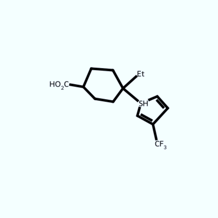 CCC1([SH]2C=CC(C(F)(F)F)=C2)CCC(C(=O)O)CC1